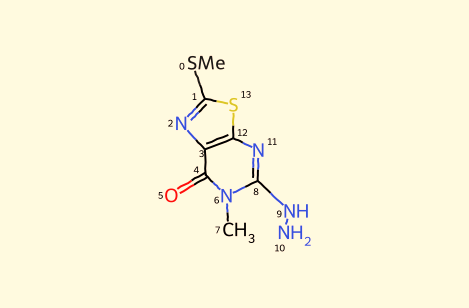 CSc1nc2c(=O)n(C)c(NN)nc2s1